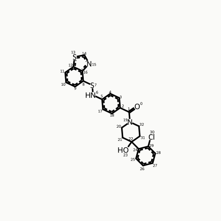 O=C(c1ccc(NSc2cccc3scnc23)cc1)N1CCC(O)(c2ccccc2Cl)CC1